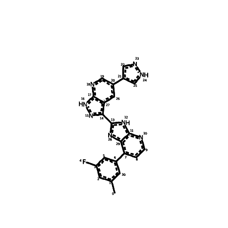 Cc1cc(F)cc(-c2ccnc3[nH]c(-c4n[nH]c5ncc(-c6cn[nH]c6)cc45)nc23)c1